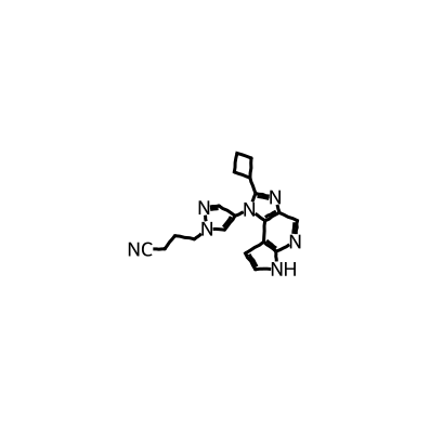 N#CCCCn1cc(-n2c(C3CCC3)nc3cnc4[nH]ccc4c32)cn1